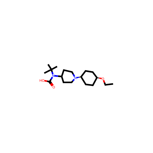 CCO[C@H]1CC[C@@H](N2CCC(N(C(=O)O)C(C)(C)C)CC2)CC1